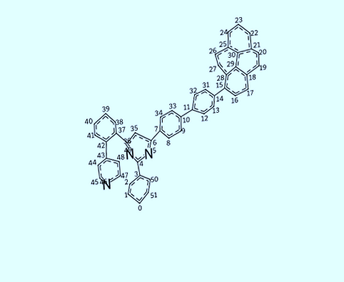 c1ccc(-c2nc(-c3ccc(-c4ccc(-c5ccc6ccc7cccc8ccc5c6c78)cc4)cc3)cc(-c3ccccc3-c3ccncc3)n2)cc1